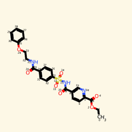 CCOC(=O)c1ccc(C(=O)NS(=O)(=O)c2ccc(C(=O)NCCOc3ccccc3)cc2)cn1